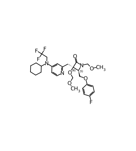 COCO[C@@]1(Cc2cc(N(CC(F)(F)F)C3CCCCC3)ccn2)C(=O)N(COC)[C@H]1COc1ccc(F)cc1